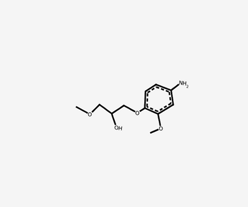 COCC(O)COc1ccc(N)cc1OC